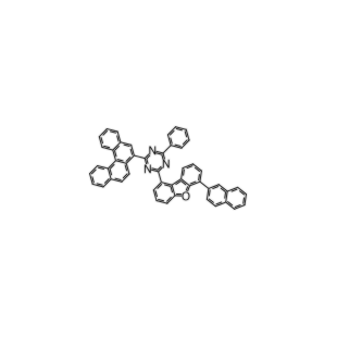 c1ccc(-c2nc(-c3cc4ccccc4c4c3ccc3ccccc34)nc(-c3cccc4oc5c(-c6ccc7ccccc7c6)cccc5c34)n2)cc1